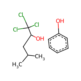 CC(C)CC(O)C(Cl)(Cl)Cl.Oc1ccccc1